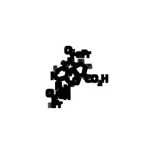 CCCC(=O)N(Cc1cnc2nc(NC(=O)C(C)C)[nH]c(=O)c2n1)c1ccc(C(=O)O)cc1